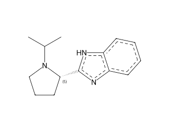 CC(C)N1CCC[C@H]1c1nc2ccccc2[nH]1